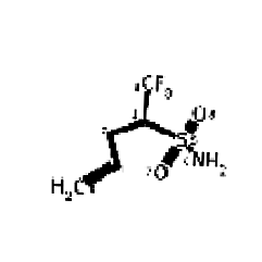 C=CC[C@@H](C(F)(F)F)S(N)(=O)=O